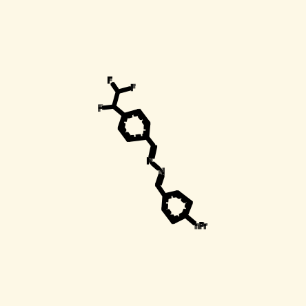 CCCc1ccc(C=NN=Cc2ccc(C(F)C(F)F)cc2)cc1